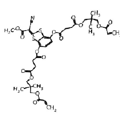 C=CC(=O)OCC(C)(C)COC(=O)CCC(=O)Oc1ccc(OC(=O)CCC(=O)OCC(C)(C)COC(=O)C=C)c2c1SC(=C(C#N)C(=O)OC)S2